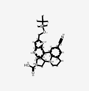 CC(C)(C)[Si](C)(C)OCc1cc2nccc(-c3cc(C#N)cc4c3N(C3CCN(C(=O)O)C3)CCC4)c2s1